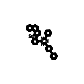 c1ccc(-c2ccc(-c3nc(-c4ccccc4)nc(-c4cccc5[se]c6c(ccc7ccc8ccccc8c76)c45)n3)cc2)cc1